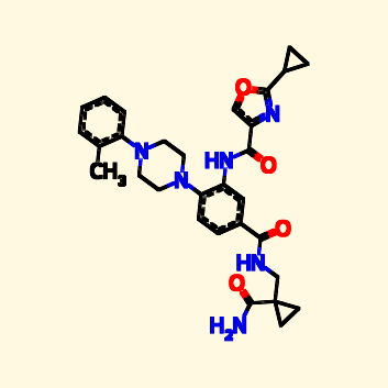 Cc1ccccc1N1CCN(c2ccc(C(=O)NCC3(C(N)=O)CC3)cc2NC(=O)c2coc(C3CC3)n2)CC1